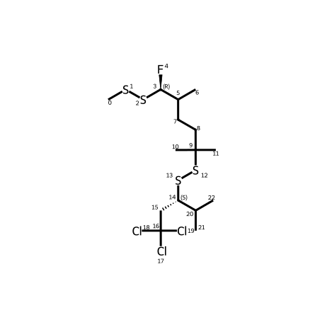 CSS[C@@H](F)C(C)CCC(C)(C)SS[C@@H](CC(Cl)(Cl)Cl)C(C)C